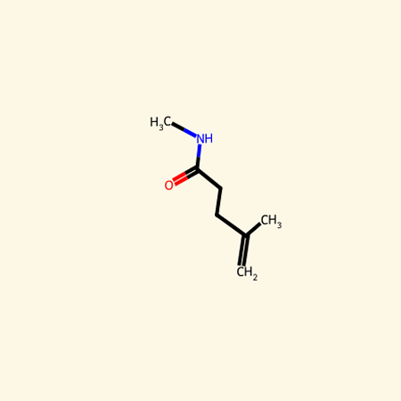 C=C(C)CCC(=O)NC